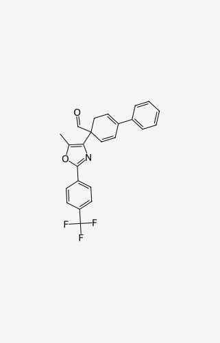 Cc1oc(-c2ccc(C(F)(F)F)cc2)nc1C1(C=O)C=CC(c2ccccc2)=CC1